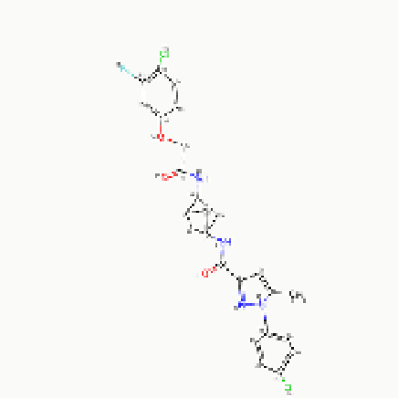 Cc1cc(C(=O)NC23CC(C2)C(NC(=O)COc2ccc(Cl)c(F)c2)C3)nn1-c1ccc(Cl)cc1